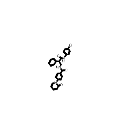 O=C(NCC(C(=O)Nc1ccc(Cl)cc1)c1ccccc1)c1ccc(-n2ccccc2=O)cc1